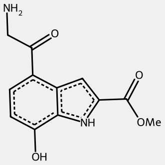 COC(=O)c1cc2c(C(=O)CN)ccc(O)c2[nH]1